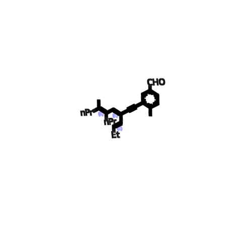 CC/C=C/C(C#Cc1cc(C=O)ccc1C)=C\C(CCC)=C(/C)CCC